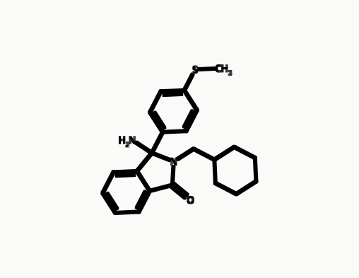 CSc1ccc(C2(N)c3ccccc3C(=O)N2CC2CCCCC2)cc1